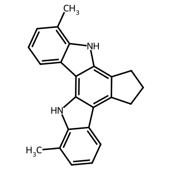 Cc1cccc2c1[nH]c1c2c2c(c3[nH]c4c(C)cccc4c31)CCC2